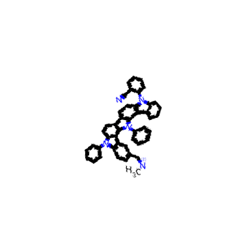 C/N=C\c1ccc2c(c1)c1c(ccc3c4ccc5c(c6ccccc6n5-c5ccccc5C#N)c4n(-c4ccccc4)c31)n2-c1ccccc1